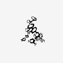 CC(C)n1cnc2cc(-c3ccc4c(c3)N([C@H]3C[C@@H](N5CCC(C)(C)C5)C3)C(=O)C43CCN(C(=O)C4CCO4)CC3)nc(Nc3ccncc3F)c21